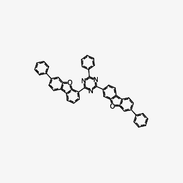 c1ccc(-c2ccc3c(c2)oc2cc(-c4nc(-c5ccccc5)nc(-c5cccc6c5oc5cc(-c7ccccc7)ccc56)n4)ccc23)cc1